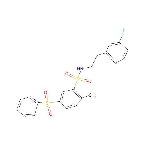 Cc1ccc(S(=O)(=O)c2ccccc2)cc1S(=O)(=O)NCCc1cccc(F)c1